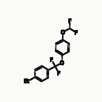 CCc1ccc(C(F)(F)Oc2ccc(OC(F)F)cc2)cc1